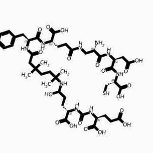 CC(C)(CCC(C)(C)NC(O)CC[C@H](NC(=O)N[C@@H](CCC(=O)O)C(=O)O)C(=O)O)CC(=O)N[C@@H](Cc1ccccc1)C(=O)N[C@@H](CCC(=O)NC[C@H](N)C(=O)N[C@@H](CC(=O)O)C(=O)N[C@@H](CS)C(=O)O)C(=O)O